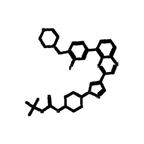 CC(C)(C)OC(=O)ON1CCC(n2cc(-c3cnc4cccc(-c5ccc(CN6CCOCC6)c(F)c5)c4n3)cn2)CC1